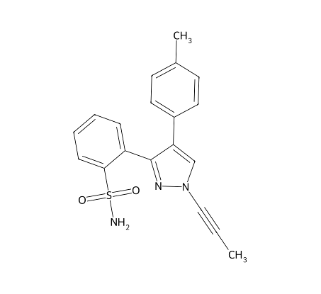 CC#Cn1cc(-c2ccc(C)cc2)c(-c2ccccc2S(N)(=O)=O)n1